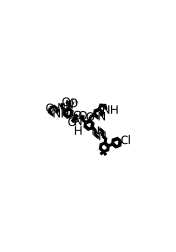 CN(c1ccc(S(=O)(=O)NC(=O)c2ccc(N3CCN(CC4=C(c5ccc(Cl)cc5)CC(C)(C)CC4)CC3)cc2Oc2cnc3[nH]ccc3c2)cc1[N+](=O)[O-])C1COCCN1